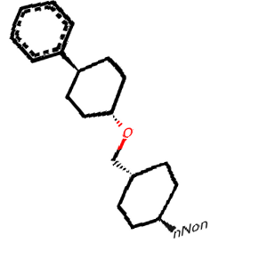 CCCCCCCCC[C@H]1CC[C@H](CO[C@H]2CC[C@H](c3ccccc3)CC2)CC1